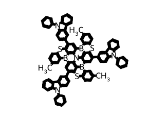 Cc1ccc2c(c1)B1c3cc(-c4ccc5c(c4)c4ccccc4n5-c4ccccc4)c4c5c3N3c6c(cc(-c7ccc8c(c7)c7ccccc7n8-c7ccccc7)c(c61)S2)B1c2cc(C)ccc2Sc2c(-c6ccc7c(c6)c6ccccc6n7-c6ccccc6)cc(c3c21)B5c1cc(C)ccc1S4